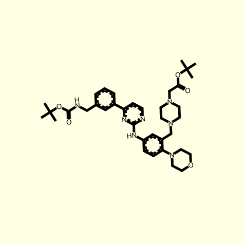 CC(C)(C)OC(=O)CN1CCN(Cc2cc(Nc3nccc(-c4cccc(CNC(=O)OC(C)(C)C)c4)n3)ccc2N2CCOCC2)CC1